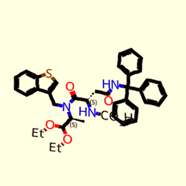 CCOC(OCC)[C@H](C)N(Cc1csc2ccccc12)C(=O)[C@H](CC(=O)NC(c1ccccc1)(c1ccccc1)c1ccccc1)NC(=O)O